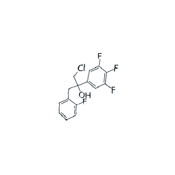 OC(CCl)(Cc1ccccc1F)c1cc(F)c(F)c(F)c1